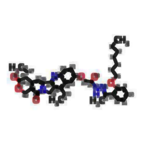 CCCCCCCOc1ccccc1/C(C)=N/NC(=O)COc1ccc2nc3c(c(CC)c2c1)Cn1c-3cc2c(c1=O)COC(=O)[C@@H]2CC